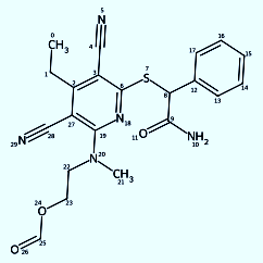 CCc1c(C#N)c(SC(C(N)=O)c2ccccc2)nc(N(C)CCOC=O)c1C#N